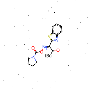 CC(C)(C)C(=O)/C(=N\OC(=O)N1CCCC1)c1nc2ccccc2s1